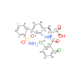 NS(=O)(=O)c1ccccc1-c1ccc(C[C@H](NC(=O)c2c(Cl)cccc2Cl)C(=O)O)cc1